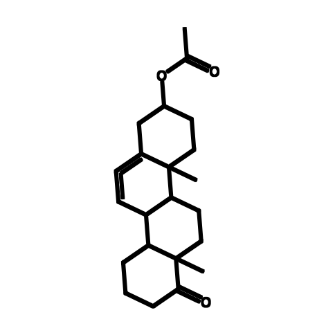 CC(=O)OC1CCC2(C)C(=C=CC3C4CCCC(=O)C4(C)CCC32)C1